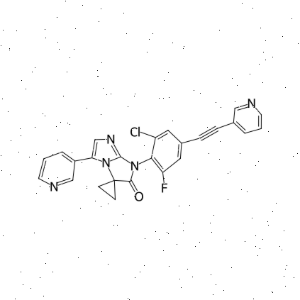 O=C1N(c2c(F)cc(C#Cc3cccnc3)cc2Cl)c2ncc(-c3cccnc3)n2C12CC2